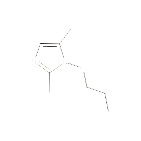 CCC[SiH2]n1c(C)cnc1C